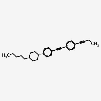 CCC#Cc1ccc(C#Cc2ccc([C@H]3CC[C@H](CCCCC)CC3)cc2)cc1